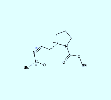 CC(C)(C)OC(=O)N1CCC[C@H]1C/C=N\[S@+]([O-])C(C)(C)C